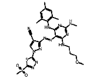 CNc1nc(NCCCOC)c(N=Nc2nn(-c3nnc(S(C)(=O)=O)s3)cc2C#N)c(Nc2c(C)cc(C)cc2C)n1